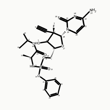 C#C[C@@]1(F)C(O)[C@@H](COP(=O)(N[C@@H](C)C(=O)OC(C)C)Oc2ccccc2)O[C@H]1n1ccc(N)nc1=S